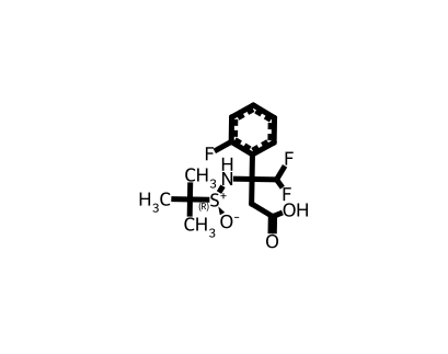 CC(C)(C)[S@+]([O-])NC(CC(=O)O)(c1ccccc1F)C(F)F